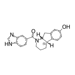 O=C(c1ccc2[nH]cnc2c1)N1CCC[C@H]2c3ccc(O)cc3C[C@H]21